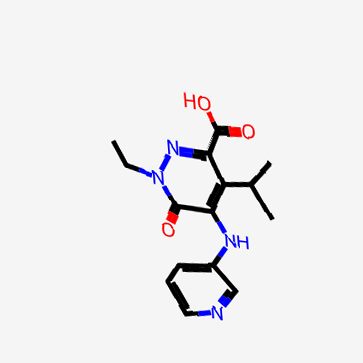 CCn1nc(C(=O)O)c(C(C)C)c(Nc2cccnc2)c1=O